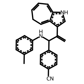 C=C(c1c[nH]c2c1=CCC=CC=2)C(Nc1cccc(C)c1)c1ccc(C#N)cc1